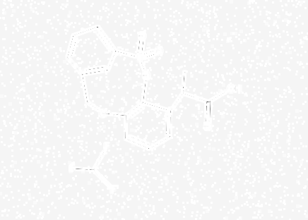 CC(C(=O)O)c1cccc2c1OS(=O)(=O)c1cccc(c1)CO2.FC(F)F